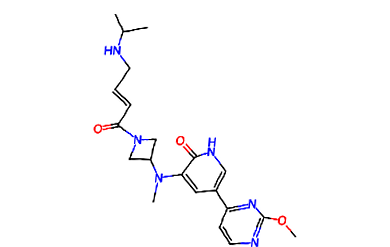 COc1nccc(-c2c[nH]c(=O)c(N(C)C3CN(C(=O)/C=C/CNC(C)C)C3)c2)n1